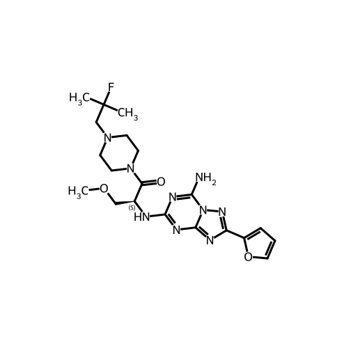 COC[C@H](Nc1nc(N)n2nc(-c3ccco3)nc2n1)C(=O)N1CCN(CC(C)(C)F)CC1